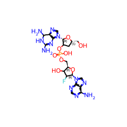 NC1=Nc2c(ncn2[C@@H]2O[C@H](CO)CC2OP(=O)(O)OC[C@H]2O[C@@H](n3cnc4c(N)ncnc43)C(F)C2O)C(N)N1